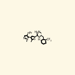 CCCc1cnn(C)c1-c1cc(C(=O)N[C@H](CN)Cc2ccccc2C(F)(F)F)sc1C